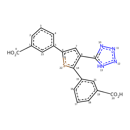 O=C(O)c1cccc(-c2cc(-c3nnn[nH]3)c(-c3cccc(C(=O)O)c3)s2)c1